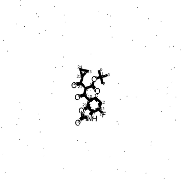 CC(C)(C)OC(=O)C(C(=O)c1ccc(F)c2[nH]c(=O)oc12)C(=O)C1CC1